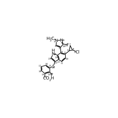 Cn1cc(-c2c(C3CC3Cl)ccc3c(Sc4cccc(C(=O)O)c4F)c[nH]c23)c(F)n1